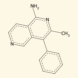 Cc1nc(N)c2ccncc2c1-c1ccccc1